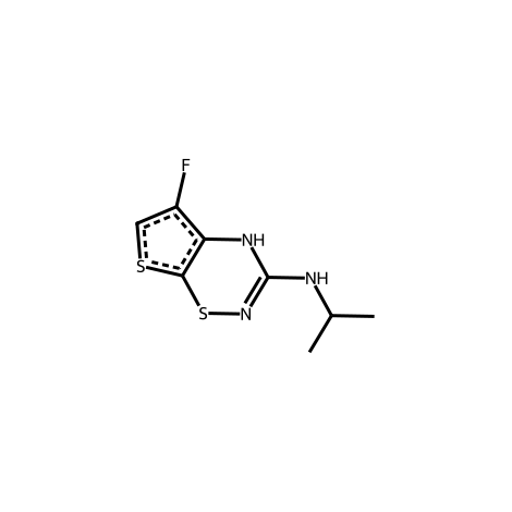 CC(C)NC1=NSc2scc(F)c2N1